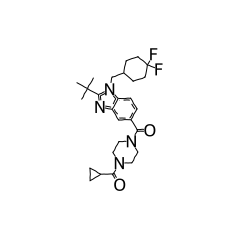 CC(C)(C)c1nc2cc(C(=O)N3CCN(C(=O)C4CC4)CC3)ccc2n1CC1CCC(F)(F)CC1